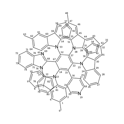 Cc1ccc2c(c1)c1ccccc1n2-c1c(-c2ccncc2)c(-n2c3ccccc3c3cc(C)ccc32)c(-n2c3ccccc3c3cc(C)ccc32)c(-n2c3ccccc3c3cc(C)ccc32)c1-c1nc2ccccc2n1-c1ccccc1